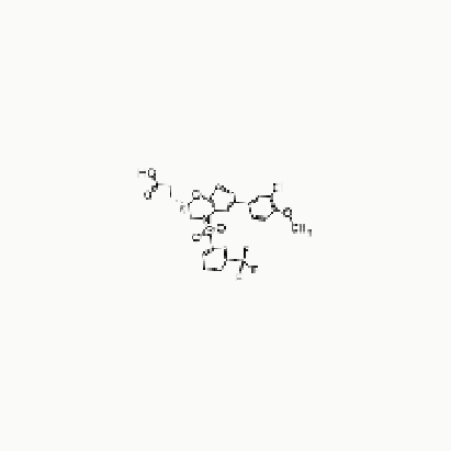 COc1ccc(-c2ccc3c(c2)N(S(=O)(=O)c2cccc(C(F)(F)F)c2)C[C@H](CCC(=O)O)O3)cc1Cl